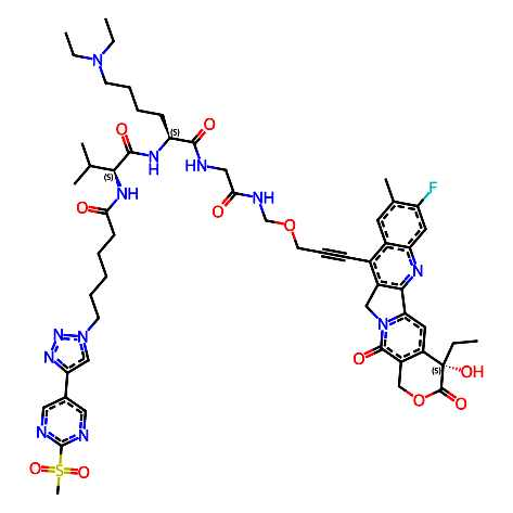 CCN(CC)CCCC[C@H](NC(=O)[C@@H](NC(=O)CCCCCn1cc(-c2cnc(S(C)(=O)=O)nc2)nn1)C(C)C)C(=O)NCC(=O)NCOCC#Cc1c2c(nc3cc(F)c(C)cc13)-c1cc3c(c(=O)n1C2)COC(=O)[C@]3(O)CC